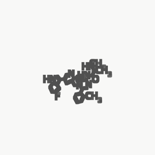 CN[C@@H](C)C(=O)Nc1ncc(-c2ccccc2C)n(Cc2cncc(-c3c[nH]c4ccc(F)cc34)c2)c1=O